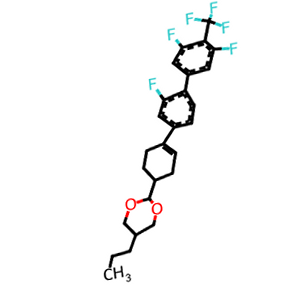 CCCC1COC(C2CC=C(c3ccc(-c4cc(F)c(C(F)(F)F)c(F)c4)c(F)c3)CC2)OC1